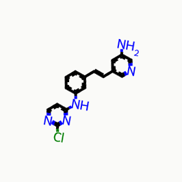 Nc1cncc(C=Cc2cccc(Nc3ccnc(Cl)n3)c2)c1